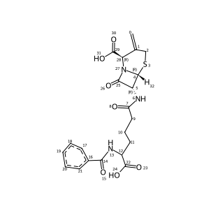 C=C1CS[C@@H]2[C@H](NC(=O)CCCC(NC(=O)c3ccccc3)C(=O)O)C(=O)N2[C@H]1C(=O)O